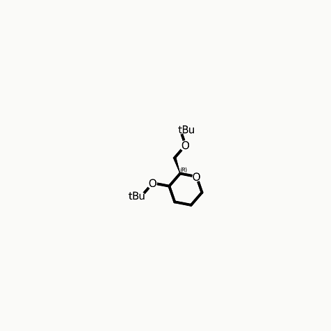 CC(C)(C)OC[C@H]1OCCCC1OC(C)(C)C